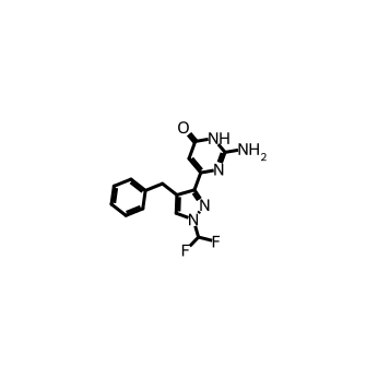 Nc1nc(-c2nn(C(F)F)cc2Cc2ccccc2)cc(=O)[nH]1